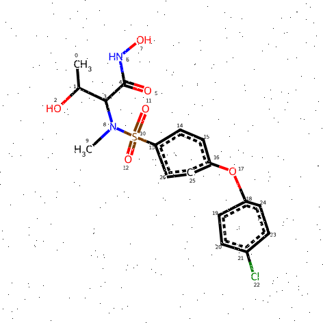 CC(O)C(C(=O)NO)N(C)S(=O)(=O)c1ccc(Oc2ccc(Cl)cc2)cc1